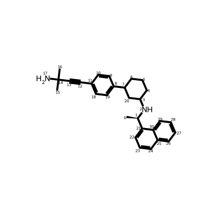 C[C@@H](NC1CCCC(c2ccc(C#CC(C)(C)N)cc2)C1)c1cccc2ccccc12